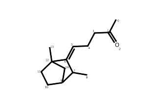 CC(=O)CCC=C1C(C)C2CCC1(C)C2